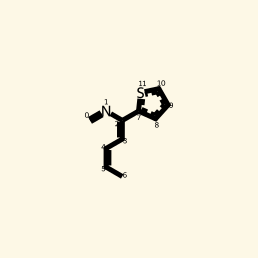 C=N/C(=C\C=C/C)c1cccs1